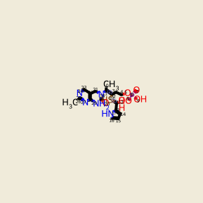 C/C(=C(CCOP(=O)(O)O)/[SH]=C(\O)c1ccc[nH]1)N(C=O)Cc1cnc(C)nc1N